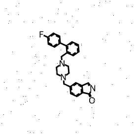 O=C1N=Cc2cc(CN3CCN(Cc4ccccc4-c4ccc(F)cc4)CC3)ccc21